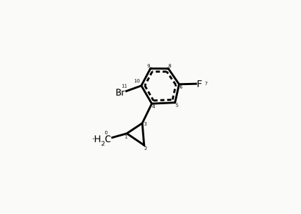 [CH2]C1CC1c1cc(F)ccc1Br